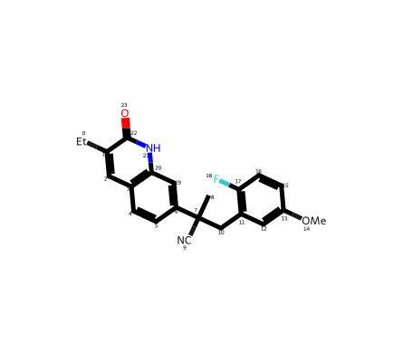 CCc1cc2ccc(C(C)(C#N)Cc3cc(OC)ccc3F)cc2[nH]c1=O